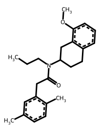 CCCN(C(=O)Cc1cc(C)ccc1C)C1CCc2cccc(OC)c2C1